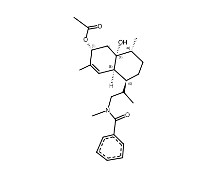 CC(=O)O[C@@H]1[CH][C@@]2(O)[C@H](C)CC[C@@H](C(C)CN(C)C(=O)c3ccccc3)[C@H]2C=C1C